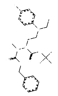 CCN(CCN(C(=O)OC(C)(C)C)N(C)C(=O)OCc1ccccc1)c1ccc(F)cc1